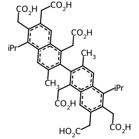 Cc1cc2c(C(C)C)c(CC(=O)O)c(CC(=O)O)cc2c(CC(=O)O)c1-c1c(C)cc2c(C(C)C)c(CC(=O)O)c(CC(=O)O)cc2c1CC(=O)O